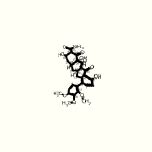 COc1ccc(-c2ccc(O)c3c2C[C@H]2C[C@H]4CC(O)C(C(N)=O)C(=O)[C@@]4(O)C(O)=C2C3=O)c(OC)c1OC